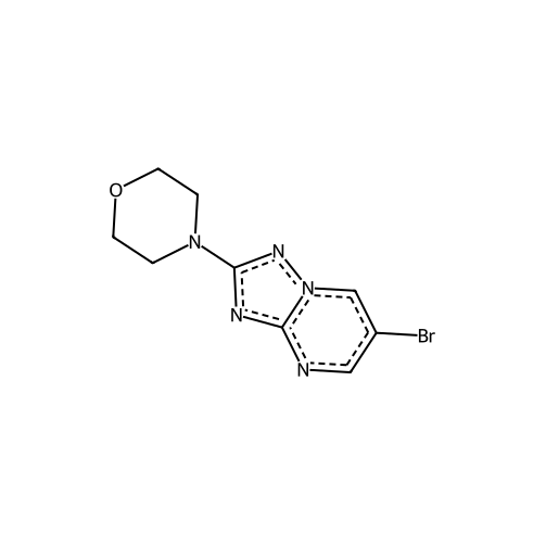 Brc1cnc2nc(N3CCOCC3)nn2c1